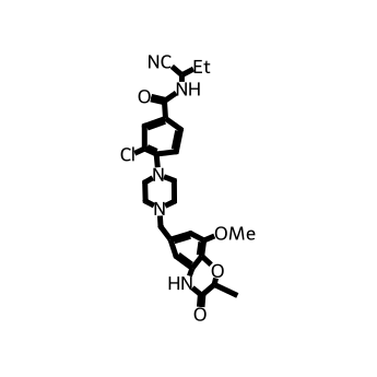 CCC(C#N)NC(=O)c1ccc(N2CCN(Cc3cc4c(c(OC)c3)OC(C)C(=O)N4)CC2)c(Cl)c1